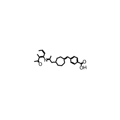 C\C=C/C(/N=C(\C)CC1CCC/C(=C\c2ccc(C(=O)O)cc2)CC1)=C(\C)C(C)=O